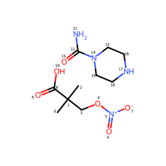 CC(C)(CO[N+](=O)[O-])C(=O)O.NC(=O)N1CCNCC1